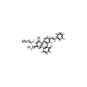 CSCC[C@H](NC(=O)c1ccc(C=Cc2cccnc2)cc1-c1ccccc1C)C(N)=O